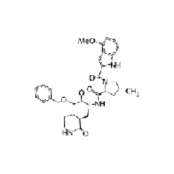 COc1cccc2[nH]c(C(=O)N3C[C@H](C)C[C@H]3C(=O)N[C@@H](C[C@@H]3CCCNC3=O)C(=O)COCc3ccccc3)cc12